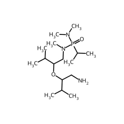 CC(C)C(CN)OC(CN(C)P(=O)(C(C)C)N(C)C)C(C)C